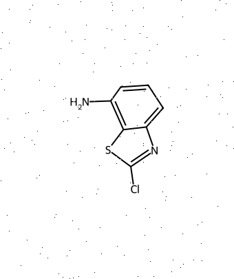 Nc1cccc2nc(Cl)sc12